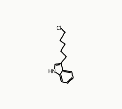 ClCCCCCc1c[nH]c2ccccc12